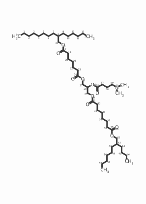 CCCCCCCCC(CCCCCC)COC(=O)CCCCCC(=O)OCC(COC(=O)CCCCCCC(=O)OCC(CCCC)CCCCCC)OC(=O)CCCN(C)C